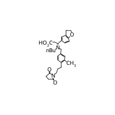 CCCCN(Cc1ccc(CCCN2C(=O)CCC2=O)c(C)c1)C(CC(=O)O)c1ccc2c(c1)CCO2